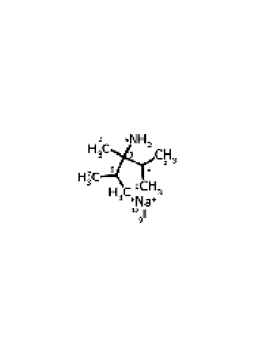 CC(C)C(C)(N)C(C)C.[I-].[Na+]